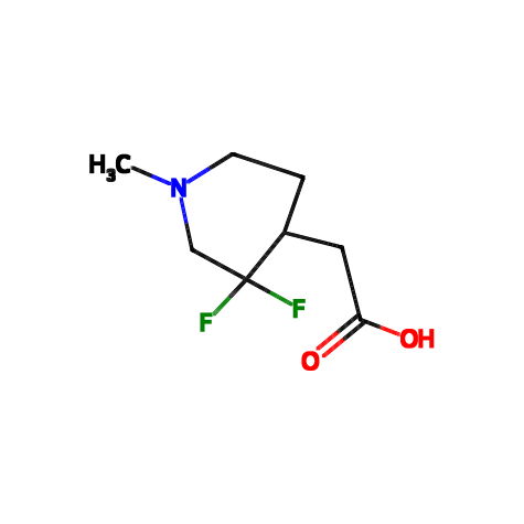 CN1CCC(CC(=O)O)C(F)(F)C1